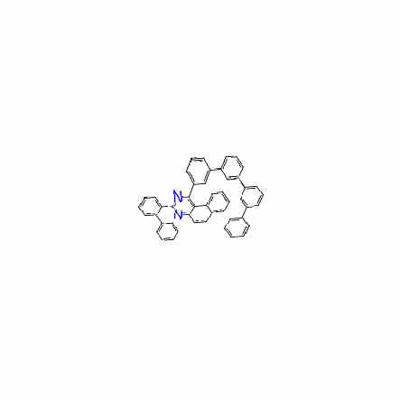 c1ccc(-c2cccc(-c3cccc(-c4cccc(-c5nc(-c6ccccc6-c6ccccc6)nc6ccc7ccccc7c56)c4)c3)c2)cc1